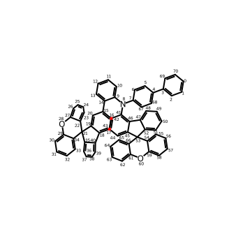 c1ccc(-c2ccc(N(c3ccccc3-c3ccc4c(c3)C3(c5ccccc5Oc5ccccc53)c3ccccc3-4)c3cccc4c3-c3ccccc3C43c4ccccc4Oc4ccccc43)cc2)cc1